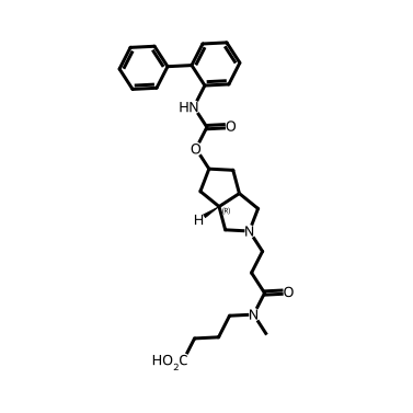 CN(CCCC(=O)O)C(=O)CCN1CC2CC(OC(=O)Nc3ccccc3-c3ccccc3)C[C@H]2C1